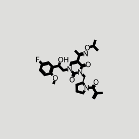 C=C(C)C(=O)N1CCC[C@H]1Cn1c(=O)c(/C(C)=N/OC(C)C)cn(CC(O)c2cc(F)ccc2OC)c1=O